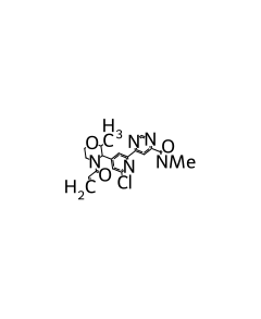 C=CC(=O)N1CCOC(C)C1c1cc(Cl)nc(-c2cc(C(=O)NC)ncn2)c1